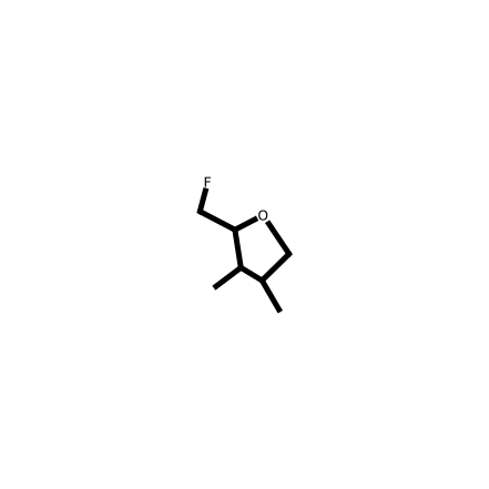 CC1COC(CF)C1C